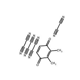 CC1=C(C)C(=O)C=CC1=O.N#CC#N.N#CC#N.N#CC#N.N#CC#N